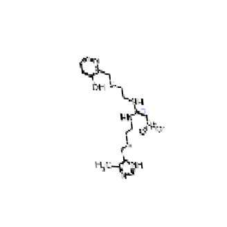 Cc1nc[nH]c1CSCCN/C(=C\[N+](=O)[O-])NCCSCc1ncccc1O